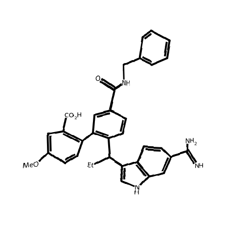 CCC(c1ccc(C(=O)NCc2ccccc2)cc1-c1ccc(OC)cc1C(=O)O)c1c[nH]c2cc(C(=N)N)ccc12